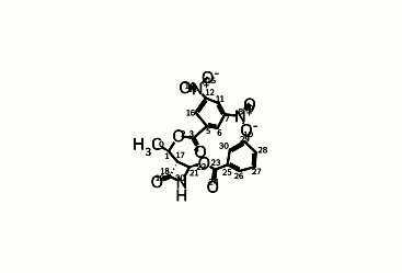 C[C@@H](OC(=O)c1cc([N+](=O)[O-])cc([N+](=O)[O-])c1)[C@H]1C(=O)N[C@@H]1OC(=O)c1ccccc1